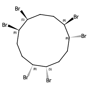 Br[C@@H]1CC[C@H](Br)[C@H](Br)CC[C@@H](Br)[C@@H](Br)CC[C@H]1Br